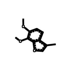 COc1ccc2c(C)coc2c1OC